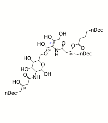 CCCCCCCCCCCCCC(=O)O[C@H](CCCCCCCCCCC)CC(=O)N/C(=C(/O)CO)[C@@H](O)OCC1OC(O)C(NC(=O)C[C@H](O)CCCCCCCCCCC)C(O)C1O